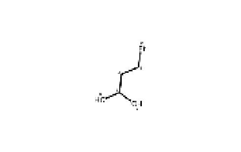 CC[CH]CC(O)O